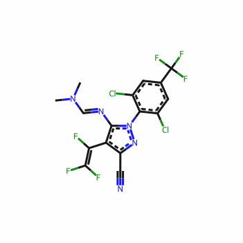 CN(C)C=Nc1c(C(F)=C(F)F)c(C#N)nn1-c1c(Cl)cc(C(F)(F)F)cc1Cl